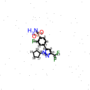 NS(=O)(=O)c1ccc(-c2cc(C(F)F)nn2C2CCCC2)cc1F